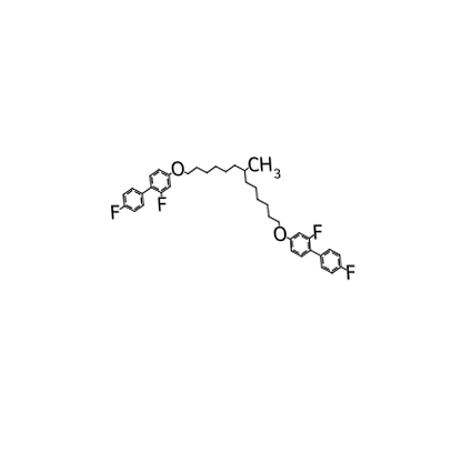 CC(CCCCCCOc1ccc(-c2ccc(F)cc2)c(F)c1)CCCCCCOc1ccc(-c2ccc(F)cc2)c(F)c1